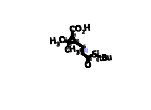 CC(C)(C)SC(=O)/C=C/C1C(C(=O)O)C1(C)C